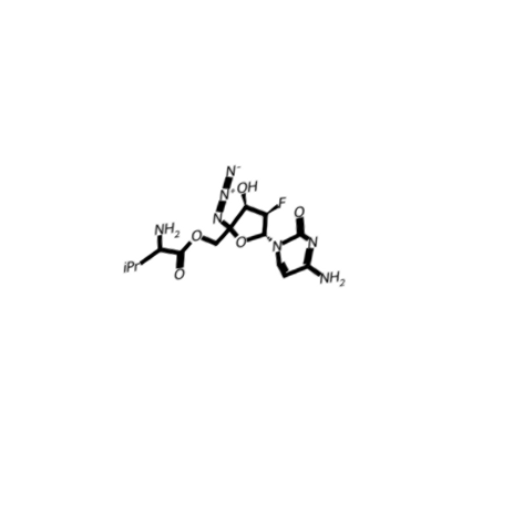 CC(C)C(N)C(=O)OCC1(N=[N+]=[N-])O[C@@H](n2ccc(N)nc2=O)[C@H](F)[C@@H]1O